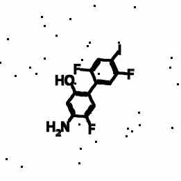 Nc1cc(O)c(-c2cc(F)c(I)cc2F)cc1F